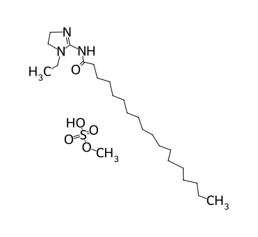 CCCCCCCCCCCCCCCCCC(=O)NC1=NCCN1CC.COS(=O)(=O)O